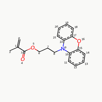 C=C(C)C(=O)OCCCN1c2ccccc2Oc2ccccc21